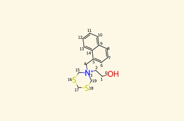 OCC[N+]1(Cc2cccc3ccccc23)CSCSC1